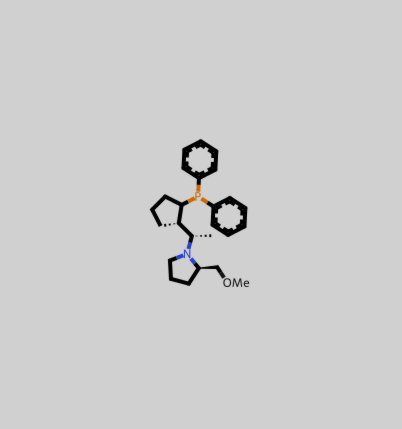 COC[C@H]1CCCN1[C@@H](C)[C@@H]1CCCC1P(c1ccccc1)c1ccccc1